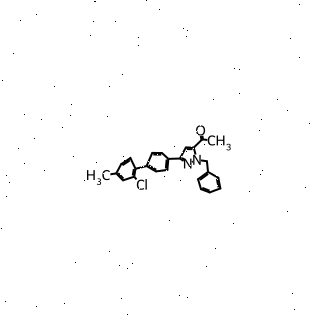 CC(=O)c1cc(-c2ccc(-c3ccc(C)cc3Cl)cc2)nn1Cc1ccccc1